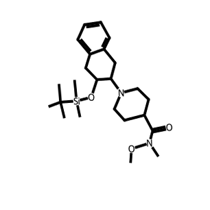 CON(C)C(=O)C1CCN(C2Cc3ccccc3CC2O[Si](C)(C)C(C)(C)C)CC1